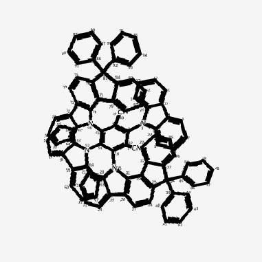 N#Cc1c(-n2c3ccccc3c3ccccc32)c(C#N)c(-n2c3ccccc3c3ccc4c(c32)-c2ccccc2C4(c2ccccc2)c2ccccc2)c(-n2c3ccccc3c3ccccc32)c1-n1c2ccccc2c2ccc3c(c21)-c1ccccc1C3(c1ccccc1)c1ccccc1